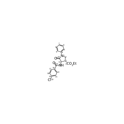 CCOC(=O)C1CN(c2ccccc2)C(=O)C1NC(=O)c1ccc(Cl)cc1